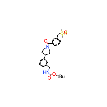 CC(C)(C)OC(=O)NCc1cccc(C2CCN(C(=O)c3cccc(C[SH](C)(C)=O)c3)CC2)c1